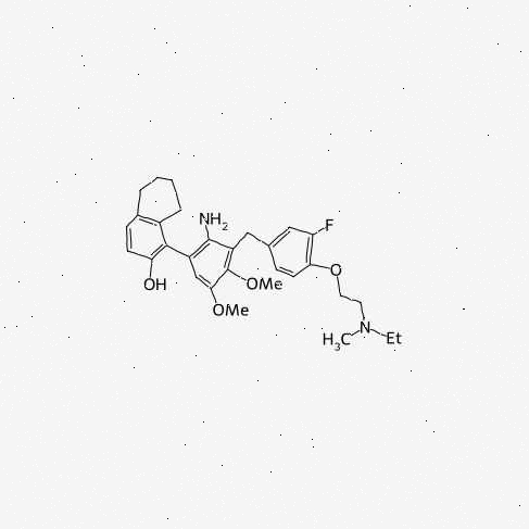 CCN(C)CCOc1ccc(Cc2c(N)c(-c3c(O)ccc4c3CCCC4)cc(OC)c2OC)cc1F